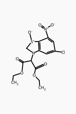 CCOC(=O)C(C(=O)OCC)N1C[S+]([O-])c2c1cc(Cl)cc2[N+](=O)[O-]